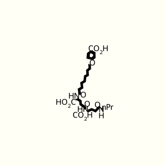 CCCNC(=O)CC[C@H](NC(=O)CC[C@H](NC(=O)CCCCCCCCCOc1ccc(C(=O)O)cc1)C(=O)O)C(=O)O